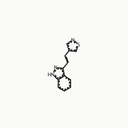 C(=C\c1n[nH]c2ccccc12)/c1cnsc1